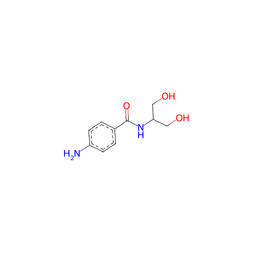 Nc1ccc(C(=O)NC(CO)CO)cc1